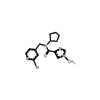 Cn1cnc(C(=O)N(Cc2ccnc(Br)c2)C2CCCC2)c1